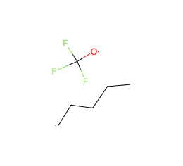 [CH2]CCCC.[O]C(F)(F)F